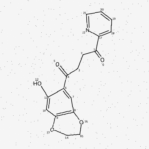 O=C(CCC(=O)c1cc2c(cc1O)OCCO2)c1ccccn1